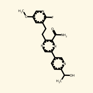 COc1cnc(F)c(CCc2ncc(-c3ccc(C(C)O)nc3)nc2C(N)=O)c1